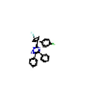 F[C@H]1C[C@](c2ccc(Cl)cc2)(c2nnc(-c3ccccc3)c(-c3ccccc3)n2)C1